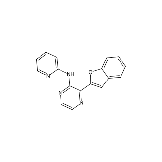 c1ccc(Nc2nccnc2-c2cc3ccccc3o2)nc1